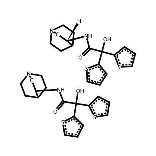 O=C(NC1CN2CCC1CC2)C(O)(c1cccs1)c1cccs1.O=C(N[C@H]1CN2CCC1CC2)C(O)(c1cccs1)c1cccs1